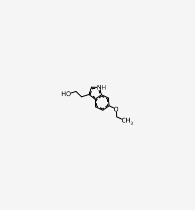 CCOc1ccc2c(CCO)c[nH]c2c1